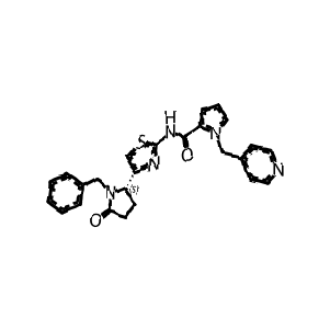 O=C(Nc1nc([C@@H]2CCC(=O)N2Cc2ccccc2)cs1)c1cccn1Cc1ccncc1